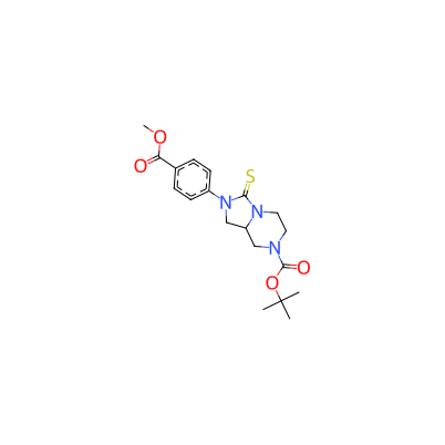 COC(=O)c1ccc(N2CC3CN(C(=O)OC(C)(C)C)CCN3C2=S)cc1